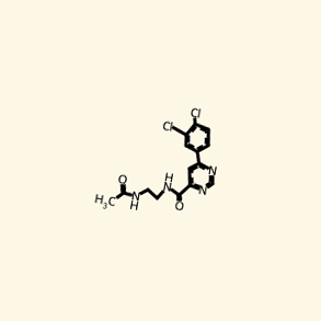 CC(=O)NCCNC(=O)c1cc(-c2ccc(Cl)c(Cl)c2)ncn1